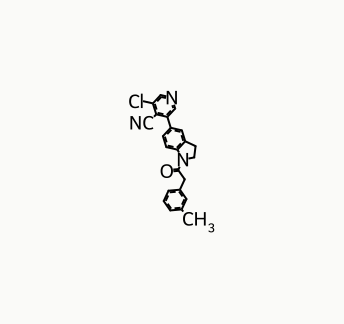 Cc1cccc(CC(=O)N2CCc3cc(-c4cncc(Cl)c4C#N)ccc32)c1